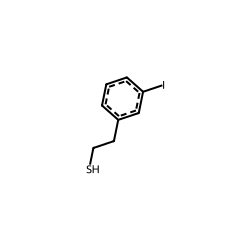 SCCc1cccc(I)c1